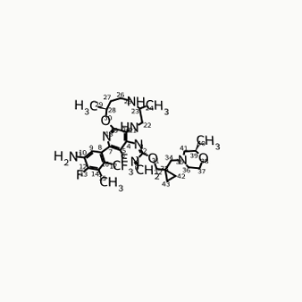 C=N/C(=N\c1c(F)c(-c2cc(N)c(F)c(C)c2C(F)(F)F)nc2c1NCC(C)NCC[C@H](C)O2)OCC1(CN2CCO[C@H](C)C2)CC1